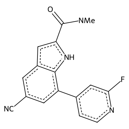 CNC(=O)c1cc2cc(C#N)cc(-c3ccnc(F)c3)c2[nH]1